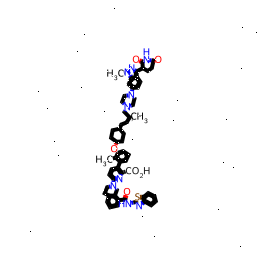 Cc1c(OC2CCC(CC[C@@H](C)CN3CCN(c4ccc5c(C6CCC(=O)NC6=O)nn(C)c5c4)CC3)CC2)cccc1-c1ccc(N2CCc3cccc(C(=O)Nc4nc5ccccc5s4)c3C2)nc1C(=O)O